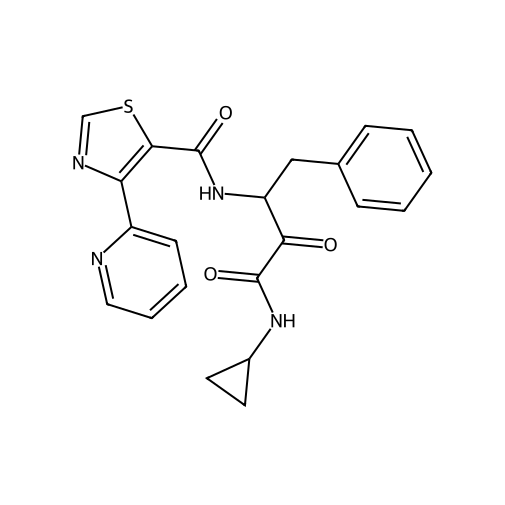 O=C(NC1CC1)C(=O)C(Cc1ccccc1)NC(=O)c1scnc1-c1ccccn1